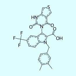 Cc1ccc(Cn2c(C(=O)O)c(-n3c(=O)[nH]c4cscc4c3=O)c3cc(C(F)(F)F)ccc32)cc1C